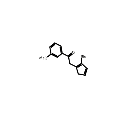 COc1cccc(C(=O)CC2=C(C(C)(C)C)C=CC2)c1